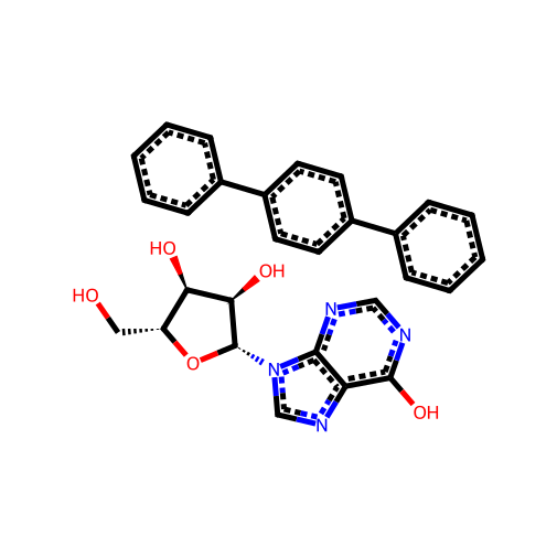 OC[C@H]1O[C@@H](n2cnc3c(O)ncnc32)[C@H](O)[C@@H]1O.c1ccc(-c2ccc(-c3ccccc3)cc2)cc1